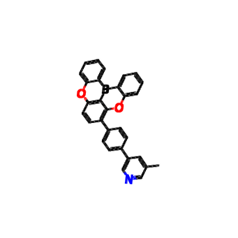 Cc1cncc(-c2ccc(-c3ccc4c5c3Oc3ccccc3B5c3ccccc3O4)cc2)c1